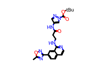 Cc1nc(-c2ccc3ccnc(NCCC(=O)Nc4cnn(C(=O)OC(C)(C)C)c4)c3c2)no1